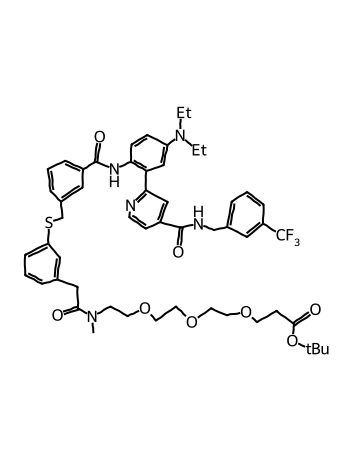 CCN(CC)c1ccc(NC(=O)c2cccc(CSc3cccc(CC(=O)N(C)CCOCCOCCOCCC(=O)OC(C)(C)C)c3)c2)c(-c2cc(C(=O)NCc3cccc(C(F)(F)F)c3)ccn2)c1